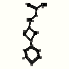 O=C(O)CNC1OC(c2ccccc2)O1